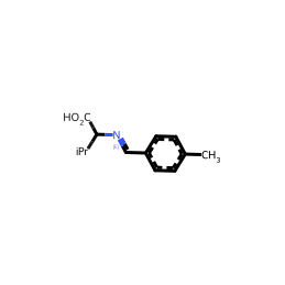 Cc1ccc(/C=N/C(C(=O)O)C(C)C)cc1